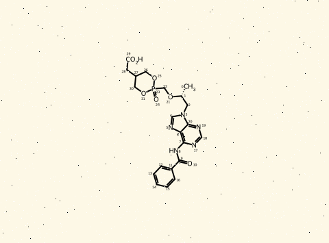 C[C@H](Cn1cnc2c(NC(=O)c3ccccc3)ncnc21)OCP1(=O)OCC(CC(=O)O)CO1